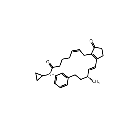 C[C@H](/C=C/C1=C(C/C=C\CCCC(=O)NC2CC2)C(=O)CC1)CCc1ccccc1